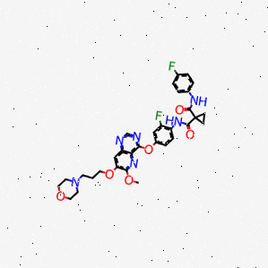 COc1nc2c(Oc3ccc(NC(=O)C4(C(=O)Nc5ccc(F)cc5)CC4)c(F)c3)ncnc2cc1OCCCN1CCOCC1